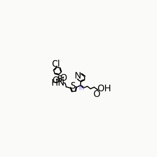 O=C(O)CCC/C=C(\c1cccnc1)c1ccc(CCNS(=O)(=O)c2ccc(Cl)cc2)s1